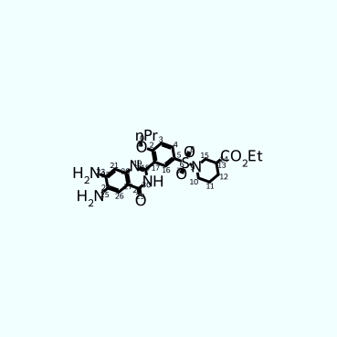 CCCOc1ccc(S(=O)(=O)N2CCCC(C(=O)OCC)C2)cc1-c1nc2cc(N)c(N)cc2c(=O)[nH]1